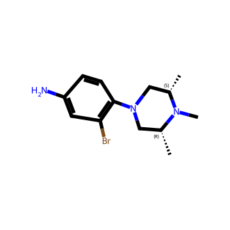 C[C@@H]1CN(c2ccc(N)cc2Br)C[C@H](C)N1C